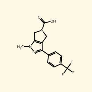 Cn1nc(-c2ccc(C(F)(F)F)cc2)c2c1CN(C(=O)O)C2